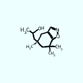 CC(O)C[C@]1(C)Cc2cnoc2C(C)(C)C1